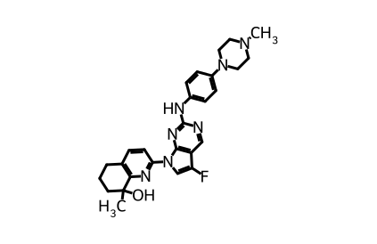 CN1CCN(c2ccc(Nc3ncc4c(F)cn(-c5ccc6c(n5)C(C)(O)CCC6)c4n3)cc2)CC1